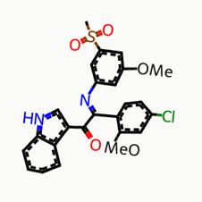 COc1cc(N=C(C(=O)c2c[nH]c3ccccc23)c2ccc(Cl)cc2OC)cc(S(C)(=O)=O)c1